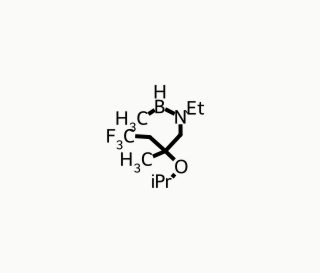 CBN(CC)CC(C)(CC(F)(F)F)OC(C)C